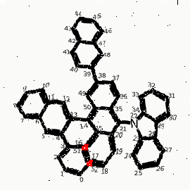 c1ccc(-c2cc3ccccc3cc2-c2c3ccccc3c(-n3c4ccccc4c4ccccc43)c3ccc(-c4ccc5ccccc5c4)cc23)cc1